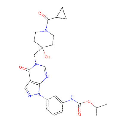 CC(C)OC(=O)Nc1cccc(-n2ncc3c(=O)n(CC4(O)CCN(C(=O)C5CC5)CC4)cnc32)c1